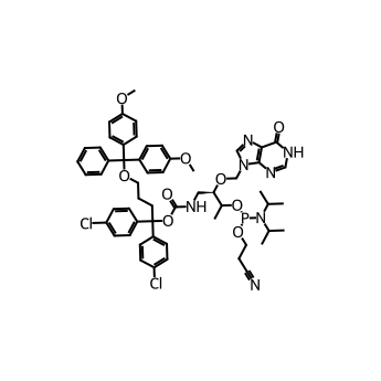 COc1ccc(C(OCCCC(OC(=O)NC[C@@H](OCn2cnc3c(=O)[nH]cnc32)C(C)OP(OCCC#N)N(C(C)C)C(C)C)(c2ccc(Cl)cc2)c2ccc(Cl)cc2)(c2ccccc2)c2ccc(OC)cc2)cc1